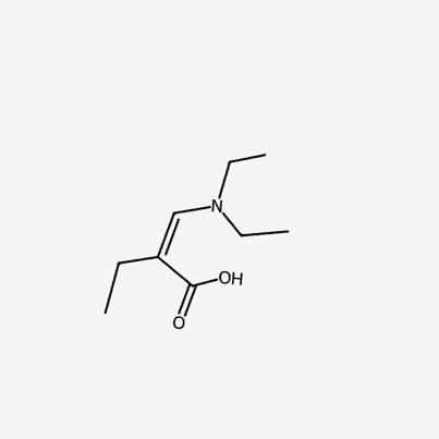 CCC(=CN(CC)CC)C(=O)O